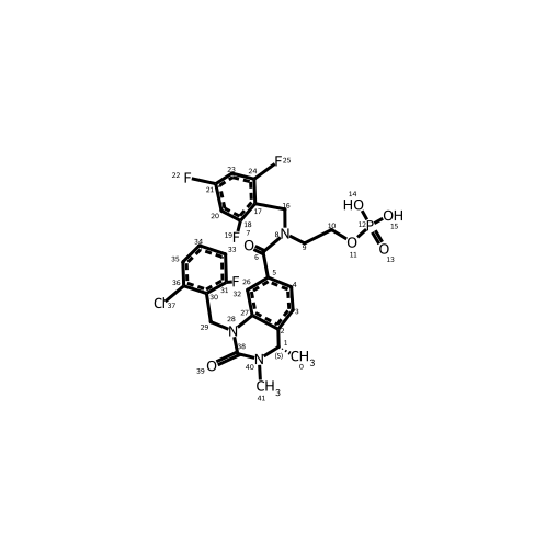 C[C@H]1c2ccc(C(=O)N(CCOP(=O)(O)O)Cc3c(F)cc(F)cc3F)cc2N(Cc2c(F)cccc2Cl)C(=O)N1C